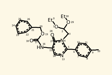 CCOC(Cn1c(-c2ccc(C)cc2)ncc(NC(=O)OCc2ccccc2)c1=O)OCC